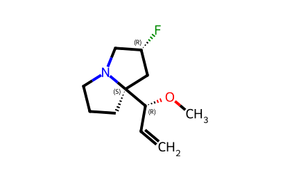 C=C[C@@H](OC)[C@@]12CCCN1C[C@H](F)C2